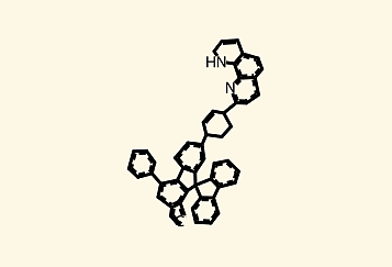 C1=Cc2ccc3ccc(C4C=CC(c5ccc6c(c5)C5(c7ccccc7-c7ccccc75)c5c-6c(-c6ccccc6)cc6ccccc56)CC4)nc3c2NC1